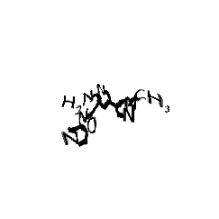 Cn1cc(-c2cnc(N)c(-c3nc4cnccc4o3)c2)cn1